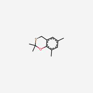 Cc1cc(C)c2c(c1)CSC(C)(C)O2